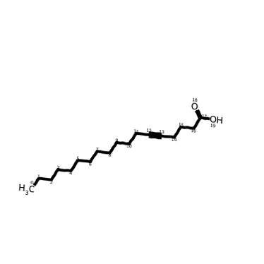 CCCCCCCCCCCCC#CCCCC(=O)O